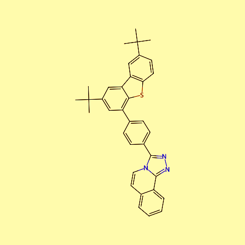 CC(C)(C)c1ccc2sc3c(-c4ccc(-c5nnc6c7ccccc7ccn56)cc4)cc(C(C)(C)C)cc3c2c1